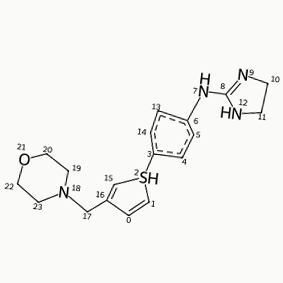 C1=C[SH](c2ccc(NC3=NCCN3)cc2)C=C1CN1CCOCC1